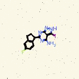 Nc1nc(C2CCc3cc(F)ccc32)nc2n[nH]c(I)c12